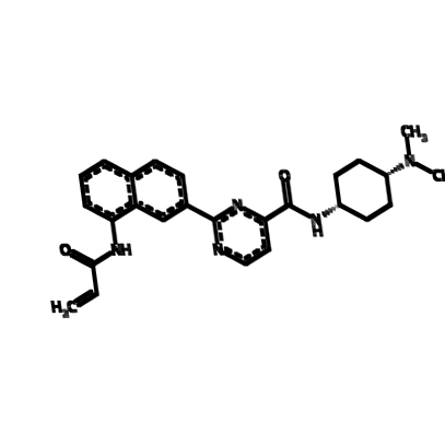 C=CC(=O)Nc1cccc2ccc(-c3nccc(C(=O)N[C@H]4CC[C@@H](N(C)C)CC4)n3)cc12